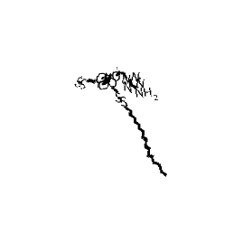 CCCCCCCCCCCCCCCCCCSSCCOP(=O)(CO[C@H](C)Cn1cnc2c(N)ncnc21)OCCSSC